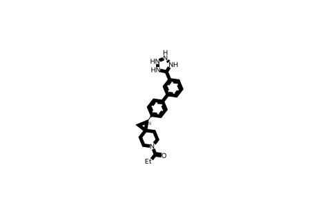 CCC(=O)N1CCC2(CC1)C[C@@H]2c1ccc(-c2cccc(C3NNNN3)c2)cc1